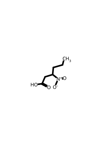 CCCC(CC(=O)O)[N+](=O)[O-]